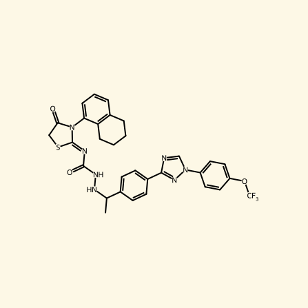 CC(NNC(=O)/N=C1\SCC(=O)N1c1cccc2c1CCCC2)c1ccc(-c2ncn(-c3ccc(OC(F)(F)F)cc3)n2)cc1